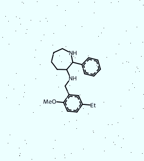 CCc1ccc(OC)c(CNC2CCCCNC2c2ccccc2)c1